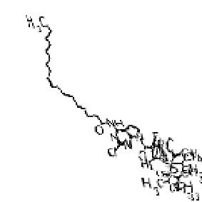 CCCCCCCC/C=C\CCCCCCCC(=O)Nc1nc(Cl)nc2c1ccn2[C@@H]1O[C@@H]2CO[Si](C(C)C)(C(C)C)O[Si](C(C)C)(C(C)C)O[C@H]2[C@@H]1F